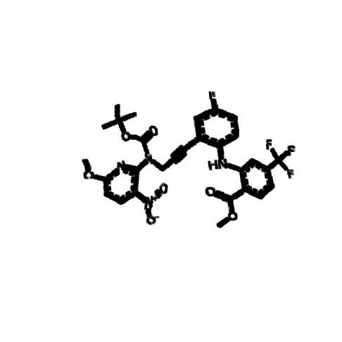 COC(=O)c1ccc(C(F)(F)F)cc1Nc1ccc(F)cc1C#CCN(C(=O)OC(C)(C)C)c1nc(OC)ccc1[N+](=O)[O-]